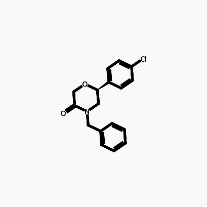 O=C1CO[C@@H](c2ccc(Cl)cc2)CN1Cc1ccccc1